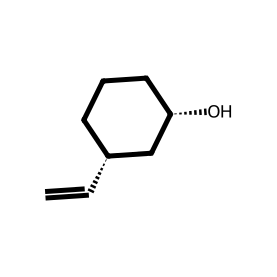 C=C[C@@H]1CCC[C@H](O)C1